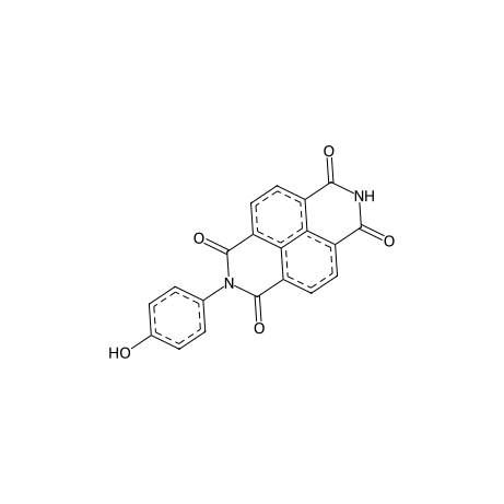 O=C1NC(=O)c2ccc3c4c(ccc1c24)C(=O)N(c1ccc(O)cc1)C3=O